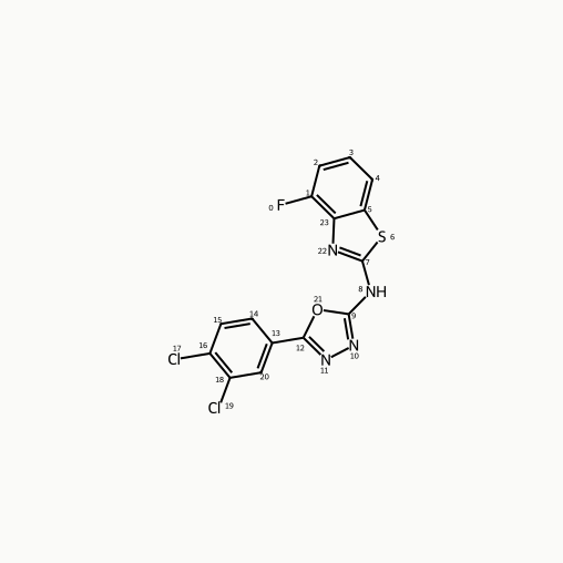 Fc1cccc2sc(Nc3nnc(-c4ccc(Cl)c(Cl)c4)o3)nc12